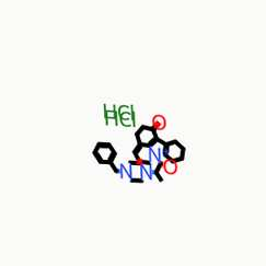 CC(C(=O)[N+]12CCC=C3CCC(=O)C(=C31)C1=C2CCCC1)N1CCN(Cc2ccccc2)CC1.Cl.Cl